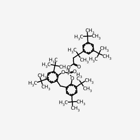 CC(C)(C)c1cc(C(C)(C)C)cc(C(C)(C)CC(=O)OP2(=O)Oc3c(cc(C(C)(C)C)cc3C(C)(C)C)Cc3cc(C(C)(C)C)cc(C(C)(C)C)c3O2)c1